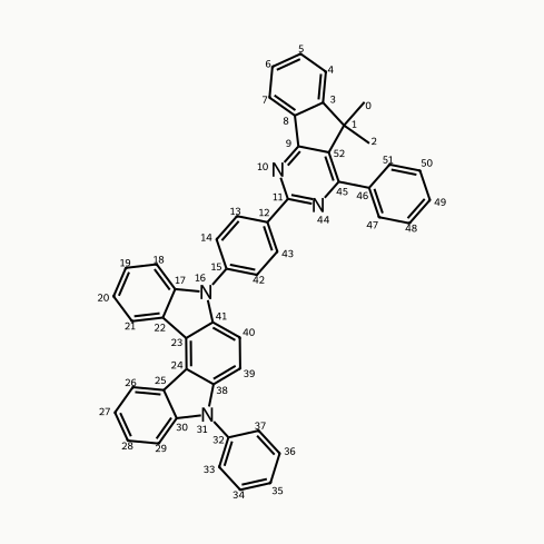 CC1(C)c2ccccc2-c2nc(-c3ccc(-n4c5ccccc5c5c6c7ccccc7n(-c7ccccc7)c6ccc54)cc3)nc(-c3ccccc3)c21